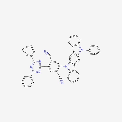 N#Cc1cc(-n2c3ccccc3c3cc4c(cc32)c2ccccc2n4-c2ccccc2)c(C#N)cc1-c1nc(-c2ccccc2)nc(-c2ccccc2)n1